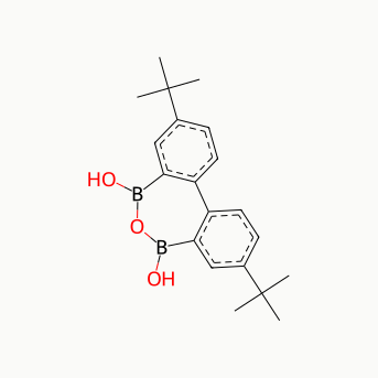 CC(C)(C)c1ccc2c(c1)B(O)OB(O)c1cc(C(C)(C)C)ccc1-2